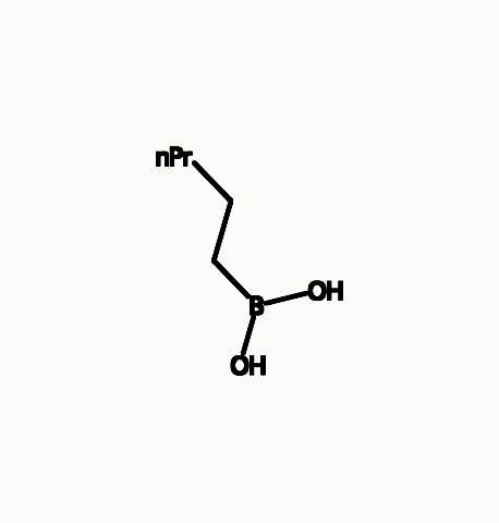 CCCCCB(O)O